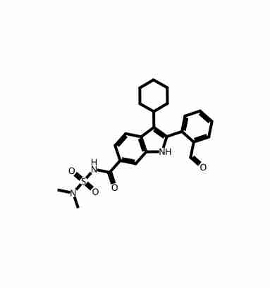 CN(C)S(=O)(=O)NC(=O)c1ccc2c(C3CCCCC3)c(-c3ccccc3C=O)[nH]c2c1